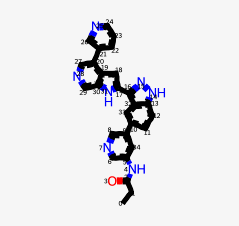 CCC(=O)Nc1cncc(-c2ccc3[nH]nc(-c4cc5c(-c6cccnc6)cncc5[nH]4)c3c2)c1